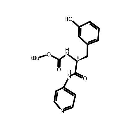 CC(C)(C)OC(=O)N[C@@H](Cc1cccc(O)c1)C(=O)Nc1ccncc1